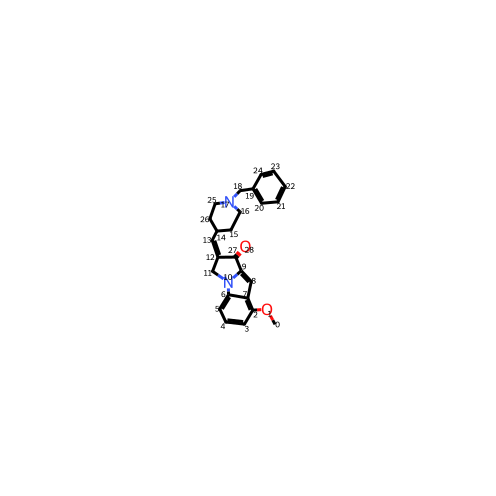 COc1cccc2c1cc1n2CC(=CC2CCN(Cc3ccccc3)CC2)C1=O